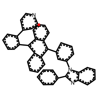 c1ccc(-c2nc3ccccc3n2-c2cccc(-c3c4ccccc4c(-c4ccccc4-c4ccncc4)c4ccccc34)c2)cc1